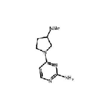 CNC1CCN(c2ccnc(N)n2)C1